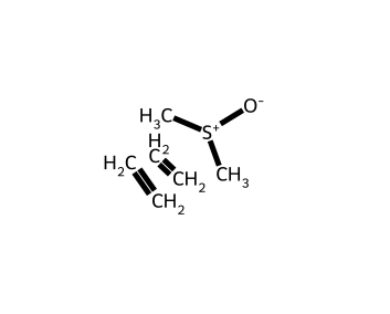 C=C.C=C.C[S+](C)[O-]